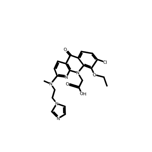 CCOc1c(Cl)ccc2c(=O)c3ccc(N(C)CCn4ccnc4)nc3n(CC(=O)O)c12